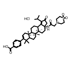 CC(C)C1=C2C3CCC4[C@@]5(C)CC=C(c6ccc(C(=O)O)cc6)C(C)(C)C5CC[C@@]4(C)[C@]3(C)CC[C@@]2(NC(=O)CN2CCS(=O)(=O)CC2)CC1=O.Cl